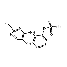 CCCS(=O)(=O)Nc1ccccc1Nc1nc(Cl)ncc1C